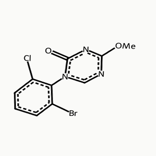 COc1ncn(-c2c(Cl)cccc2Br)c(=O)n1